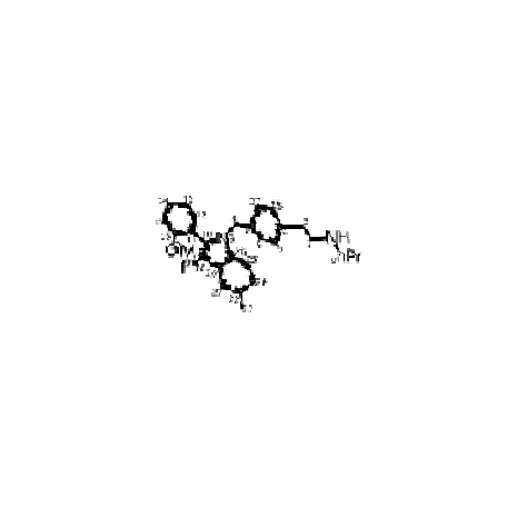 CCCNCCc1ccc(Cn2c(-c3ccccc3OC)c(F)c3cc(C)ccc32)cc1